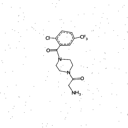 NCC(=O)N1CCN(C(=O)c2cc(C(F)(F)F)ccc2Cl)CC1